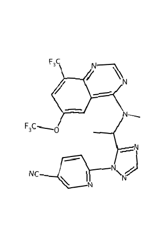 CC(c1ncnn1-c1ccc(C#N)cn1)N(C)c1ncnc2c(C(F)(F)F)cc(OC(F)(F)F)cc12